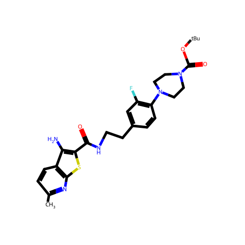 Cc1ccc2c(N)c(C(=O)NCCc3ccc(N4CCN(C(=O)OC(C)(C)C)CC4)c(F)c3)sc2n1